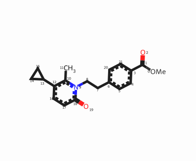 COC(=O)c1ccc(CCn2c(C)c(C3CC3)ccc2=O)cc1